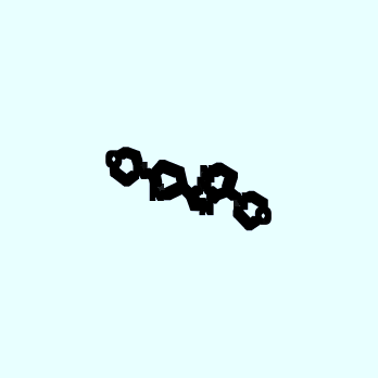 c1cc(N2CCOCC2)c2ncc(-c3ccc(N4CCOCC4)nc3)n2n1